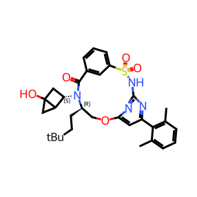 Cc1cccc(C)c1-c1cc2nc(n1)NS(=O)(=O)c1cccc(c1)C(=O)N([C@H]1CC3(O)CC13)[C@H](CCC(C)(C)C)CO2